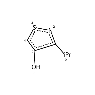 CC(C)c1nscc1O